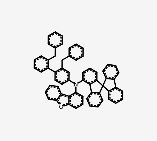 c1ccc(Cc2ccccc2-c2ccc(N(c3cccc4c3-c3ccccc3C43c4ccccc4-c4ccccc43)c3cccc4oc5ccccc5c34)cc2Cc2ccccc2)cc1